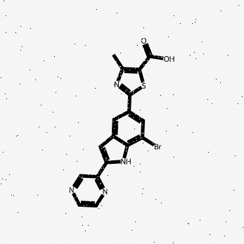 Cc1nc(-c2cc(Br)c3[nH]c(-c4cnccn4)cc3c2)sc1C(=O)O